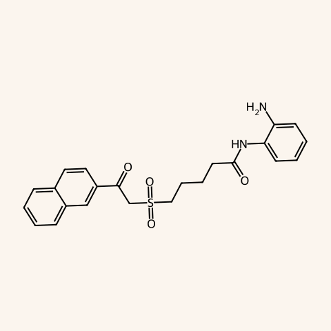 Nc1ccccc1NC(=O)CCCCS(=O)(=O)CC(=O)c1ccc2ccccc2c1